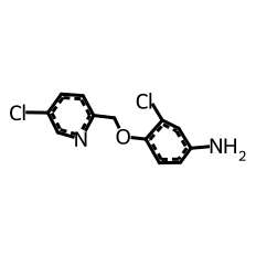 Nc1ccc(OCc2ccc(Cl)cn2)c(Cl)c1